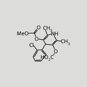 COC(=O)OC1=C(C)NC(C)=C(OC(=O)O)C1c1ccccc1Cl